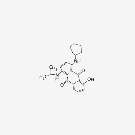 CC(C)Nc1ccc(NC2CCCCC2)c2c1C(=O)c1cccc(O)c1C2=O